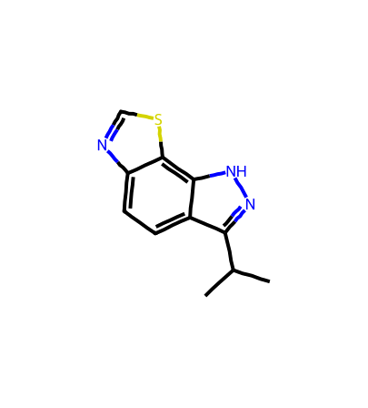 CC(C)c1n[nH]c2c1ccc1ncsc12